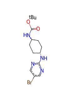 CC(C)(C)OC(=O)N[C@H]1CC[C@H](Nc2ncc(Br)cn2)CC1